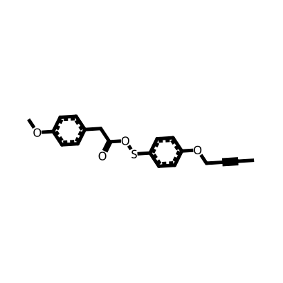 CC#CCOc1ccc(SOC(=O)Cc2ccc(OC)cc2)cc1